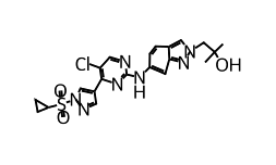 CC(C)(O)Cn1cc2ccc(Nc3ncc(Cl)c(-c4cnn(S(=O)(=O)C5CC5)c4)n3)cc2n1